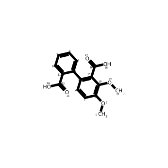 COc1ccc(-c2ccccc2C(=O)O)c(C(=O)O)c1OC